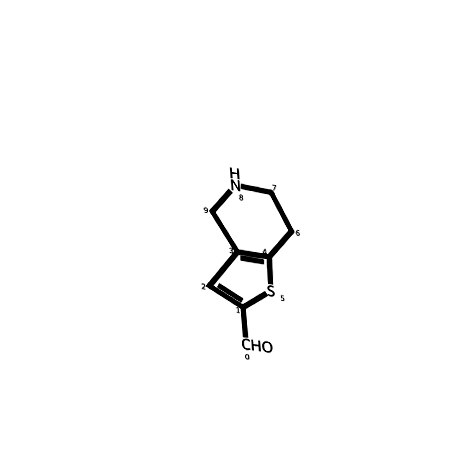 O=Cc1cc2c(s1)CCNC2